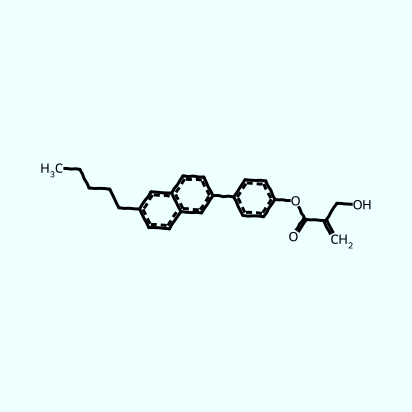 C=C(CO)C(=O)Oc1ccc(-c2ccc3cc(CCCCC)ccc3c2)cc1